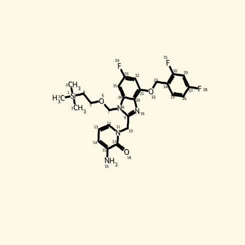 C[Si](C)(C)CCOCn1c(Cn2cccc(N)c2=O)nc2c(OCc3ccc(F)cc3F)cc(F)cc21